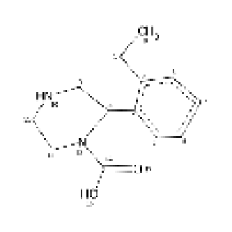 CCc1ccccc1C1CNCCN1C(=O)O